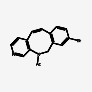 CC(=O)N1Cc2cc(Br)ccc2C=Cc2ccncc21